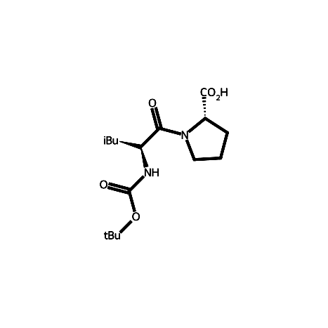 CC[C@H](C)[C@H](NC(=O)OC(C)(C)C)C(=O)N1CCC[C@H]1C(=O)O